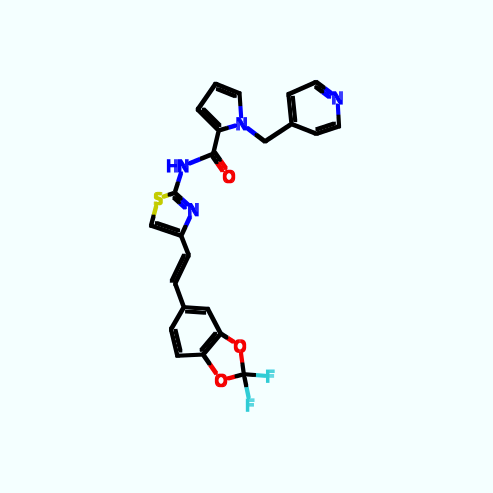 O=C(Nc1nc(C=Cc2ccc3c(c2)OC(F)(F)O3)cs1)c1cccn1Cc1ccncc1